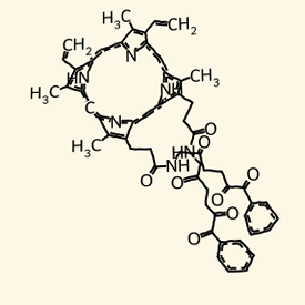 C=CC1=C(C)c2cc3[nH]c(cc4nc(cc5[nH]c(cc1n2)c(C)c5CCC(=O)NCC(=O)CCC(=O)C(=O)c1ccccc1)C(CCC(=O)NCC(=O)CCC(=O)C(=O)c1ccccc1)=C4C)c(C)c3C=C